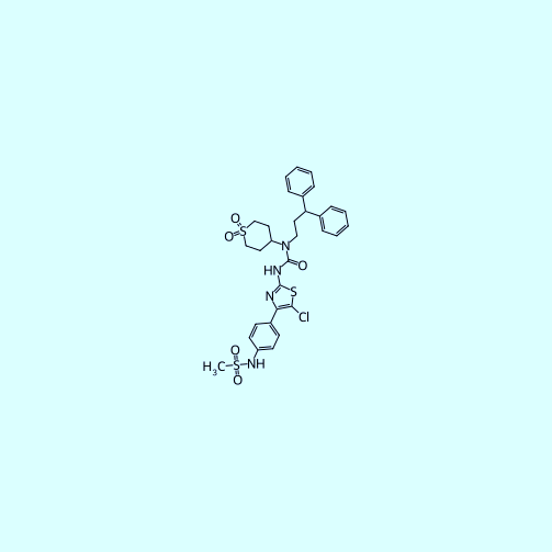 CS(=O)(=O)Nc1ccc(-c2nc(NC(=O)N(CCC(c3ccccc3)c3ccccc3)C3CCS(=O)(=O)CC3)sc2Cl)cc1